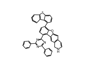 C1=C=Cc2c(sc3cccc(-c4ccc(-c5nc(-c6ccccc6)nc(-c6ccccc6)n5)c5c4oc4cc6c(cc45)CNC=C6)c23)C=1